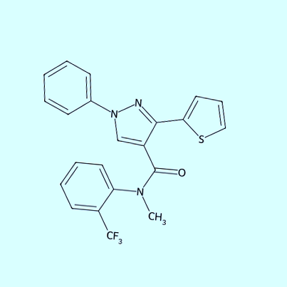 CN(C(=O)c1cn(-c2ccccc2)nc1-c1cccs1)c1ccccc1C(F)(F)F